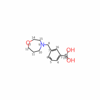 OB(O)c1cccc(CN2CCCOCC2)c1